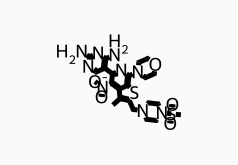 Cc1c(CN2CCN(S(C)(=O)=O)CC2)sc2c(N3CCOCC3)nc(-c3cnc(N)nc3N)c([N+](=O)[O-])c12